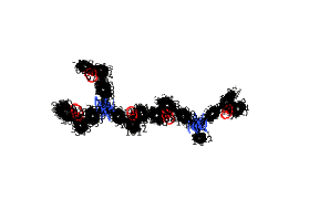 c1ccc(-c2nc(-c3ccc(-c4cccc5c4oc4ccccc45)cc3)nc(-c3ccc(-c4cccc5c4oc4ccc(-c6ccc7oc8c(-c9ccc(-c%10nc(-c%11ccc(-c%12cccc%13c%12oc%12ccccc%12%13)cc%11)nc(-c%11ccc(-c%12cccc%13c%12oc%12ccccc%12%13)cc%11)n%10)cc9)cccc8c7c6)cc45)cc3)n2)cc1